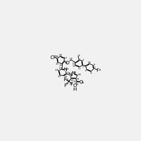 Cc1cc(-c2ccc(F)cc2)ccc1COc1ccc(Cl)cc1-c1cccc(-n2ncc(C(=O)O)c2C(F)(F)F)n1